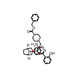 Nc1nnc(-c2ccccc2O)cc1N1C[C@H]2CC[C@@H](C1)N2c1cccc(CN2CCN(C(=O)OCc3ccccc3)CC2)c1